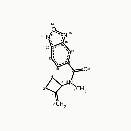 C=C1CCC1N(C)C(=O)c1ccc2nonc2c1